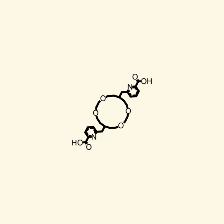 O=C(O)c1cccc(CC2CCOCCOCCC(Cc3cccc(C(=O)O)n3)CCOCCOCC2)n1